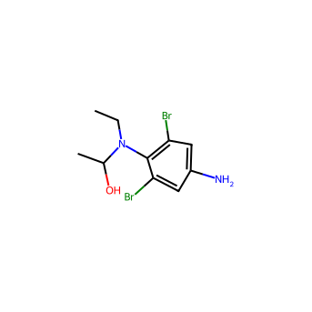 CCN(c1c(Br)cc(N)cc1Br)C(C)O